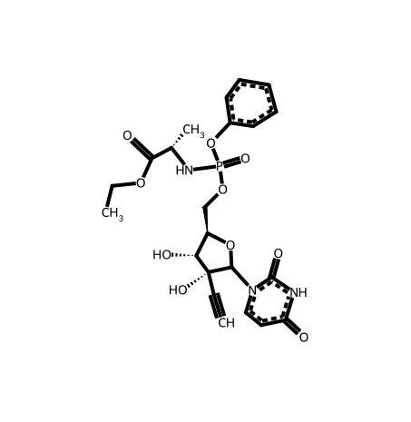 C#C[C@]1(O)C(n2ccc(=O)[nH]c2=O)O[C@H](COP(=O)(N[C@@H](C)C(=O)OCC)Oc2ccccc2)[C@H]1O